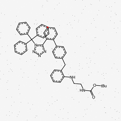 CC(C)(C)OC(=O)NCCNc1ccccc1Cc1ccc(-c2ccccc2-c2nnnn2C(c2ccccc2)(c2ccccc2)c2ccccc2)cc1